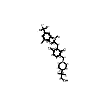 Cc1cc(C(F)(F)F)cc2c1nc(Cc1c(Cl)ccc(CN3CCC(C(C)(C)CO)CC3)c1Cl)n2C